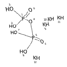 O=P(O)(O)OP(=O)(O)O.[KH].[KH].[KH].[KH]